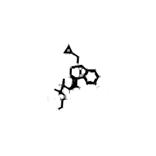 CC(C)(O)[C@H]1C[C@@]23CC[C@]1(OCCF)C1Oc4c(O)ccc5c4[C@]12CCN(CC1CC1)C3C5